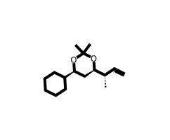 C=C[C@H](C)[C@H]1C[C@@H](C2CCCCC2)OC(C)(C)O1